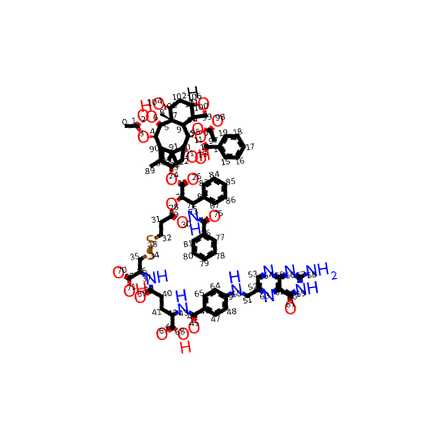 CC(=O)O[C@H]1C(=O)[C@@]2(C)C([C@H](OC(=O)c3ccccc3)[C@]3(O)CC(OC(=O)C(OC(=O)CCSSCC(NC(=O)CCC(NC(=O)c4ccc(NCc5cnc6nc(N)[nH]c(=O)c6n5)cc4)C(=O)O)C(=O)O)[C@@H](NC(=O)c4ccccc4)c4ccccc4)C(C)=C1C3(C)C)[C@]1(OC(C)=O)CO[C@@H]1C[C@@H]2O